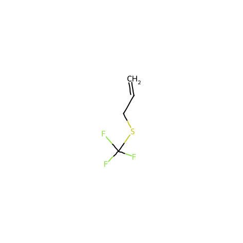 C=CCSC(F)(F)F